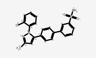 NS(=O)(=O)c1cccc(-c2ccc(-c3cc(C(F)(F)F)nn3-c3ccccc3Cl)cc2)c1